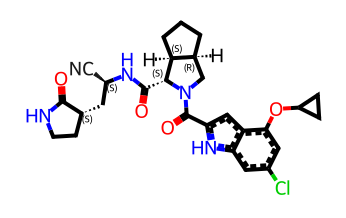 N#C[C@H](C[C@@H]1CCNC1=O)NC(=O)[C@@H]1[C@H]2CCC[C@H]2CN1C(=O)c1cc2c(OC3CC3)cc(Cl)cc2[nH]1